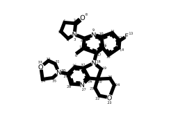 Cc1c(N2CCCC2=O)nc2cc(F)ccc2c1N1CC2(CCOCC2)c2ncc(N3CCOCC3)cc21